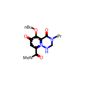 CCCCOc1c2n(c(C(=O)NC)cc1=O)NCN(C(C)C)C2=O